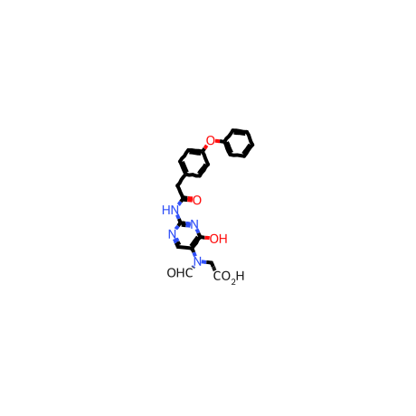 O=CN(CC(=O)O)c1cnc(NC(=O)Cc2ccc(Oc3ccccc3)cc2)nc1O